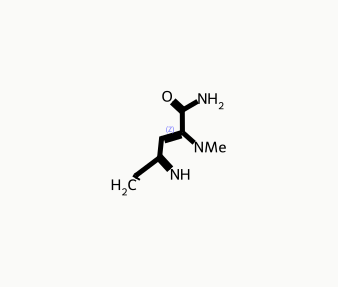 C=CC(=N)/C=C(\NC)C(N)=O